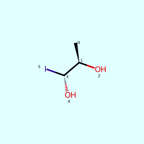 C[C@@H](O)[C@H](O)I